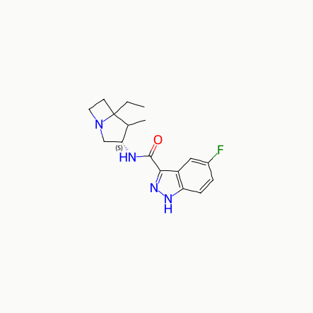 CCC12CCN1C[C@@H](NC(=O)c1n[nH]c3ccc(F)cc13)C2C